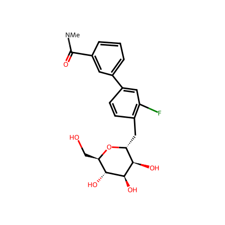 CNC(=O)c1cccc(-c2ccc(C[C@H]3O[C@H](CO)[C@@H](O)[C@H](O)[C@@H]3O)c(F)c2)c1